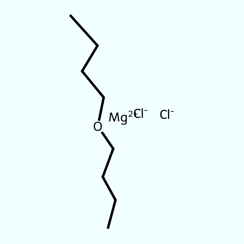 CCCCOCCCC.[Cl-].[Cl-].[Mg+2]